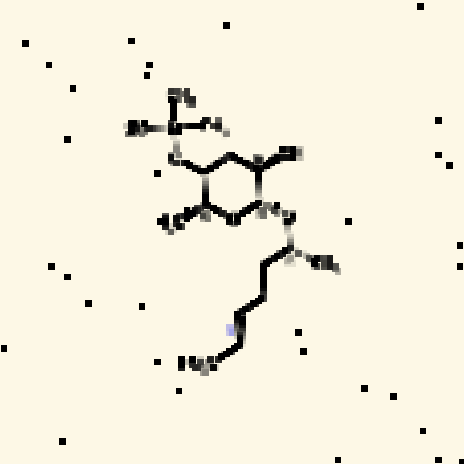 C[C@H](CC/C=C/C(=O)O)O[C@@H]1O[C@@H](C)C(O[Si](C)(C)C(C)(C)C)C[C@H]1O